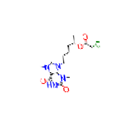 CC(CCCCN1CN(C)c2c1n(C)c(=O)[nH]c2=O)OC(=O)CCl